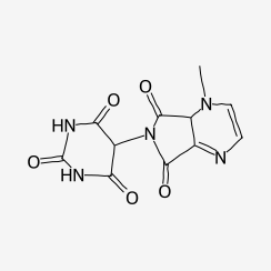 CN1C=CN=C2C(=O)N(C3C(=O)NC(=O)NC3=O)C(=O)C21